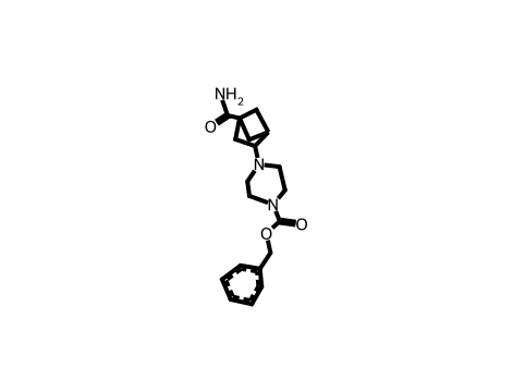 NC(=O)C12CC(C1)C(N1CCN(C(=O)OCc3ccccc3)CC1)C2